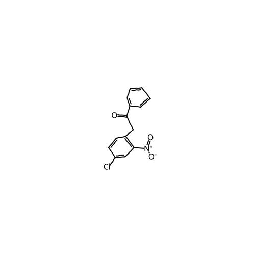 O=C(Cc1ccc(Cl)cc1[N+](=O)[O-])c1ccccc1